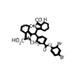 Cn1c(C(=O)O)c2c(c1C(c1ccc(C(=O)Oc3ccc(Br)cc3Br)cc1)c1c3c(c(C(=O)O)n1C)CCCC3)CCCC2